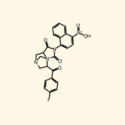 O=C(c1ccc(F)cc1)C1C[N@@]2CC3C(=O)N(c4ccc([N+](=O)O)c5ccccc45)C(=O)[N+]13C2